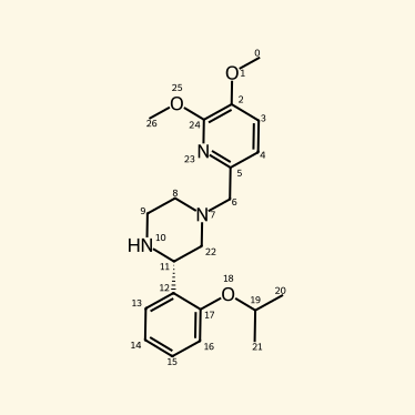 COc1ccc(CN2CCN[C@@H](c3ccccc3OC(C)C)C2)nc1OC